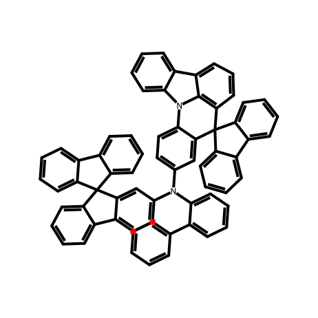 c1ccc(-c2ccccc2N(c2ccc3c(c2)C2(c4ccccc4-c4ccccc42)c2ccccc2-3)c2ccc3c(c2)C2(c4ccccc4-c4ccccc42)c2cccc4c5ccccc5n-3c24)cc1